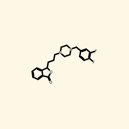 O=C1OC(CCCN2CCN(Cc3ccc(F)c(F)c3)CC2)c2ccccc21